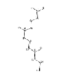 CC(C)=CCCC(C)C/C=C/C(C)=C/CI